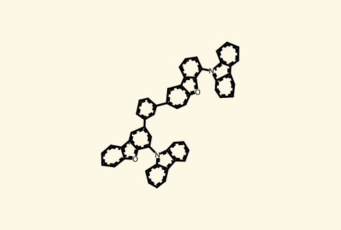 c1cc(-c2ccc3oc4c(-n5c6ccccc6c6ccccc65)cccc4c3c2)cc(-c2cc(-n3c4ccccc4c4ccccc43)c3oc4ccccc4c3c2)c1